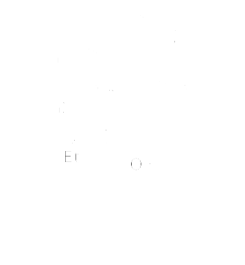 C=COC1(CC)C2CC3CC(C2)CC1C3